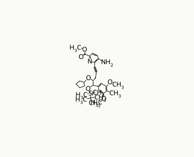 COC(=O)c1ccc(N)c(C#CC[C@H](OC2CCCC2)C(O[Si](C)(C)C(C)(C)C)c2cc(OC)c(C)c(OC)c2)n1